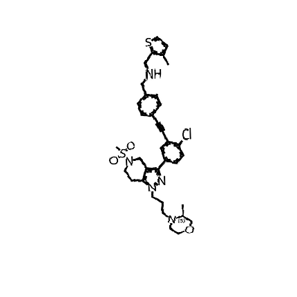 Cc1ccsc1CNCc1ccc(C#Cc2cc(-c3nn(CCCN4CCOC[C@@H]4C)c4c3CN(S(C)(=O)=O)CC4)ccc2Cl)cc1